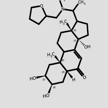 CC(C1CC[C@@]2(O)C3=CC(=O)[C@@H]4C[C@@H](O)[C@@H](O)C[C@]4(C)C3CC[C@]12C)N(C)CC1CCCO1